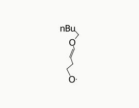 CCCCCOC=CCC[O]